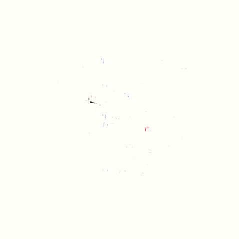 COc1cc2c(cc1O)CCN[C@]21CS[C@@H]2c3c(OC(=O)C(F)(F)F)c(C)c4c(c3[C@H](COC1=O)N1C2[C@H]2c3c(cc(C)c(OC)c3OC(=O)C(F)(F)F)C[C@H]([C@@H]1C#N)N2C)OCO4